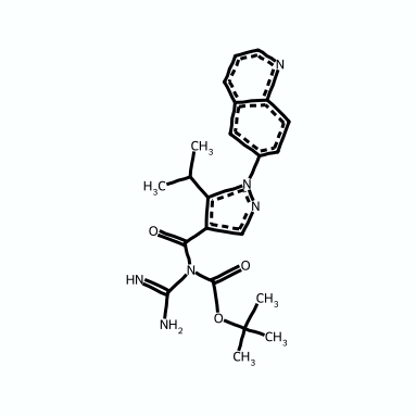 CC(C)c1c(C(=O)N(C(=N)N)C(=O)OC(C)(C)C)cnn1-c1ccc2ncccc2c1